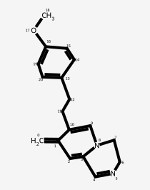 C=C1C=C2C=NCCN2C=C1CCc1ccc(OC)cc1